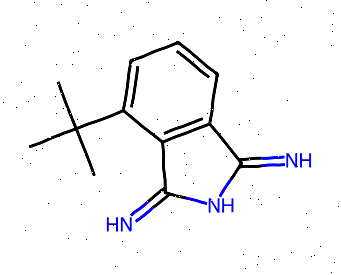 CC(C)(C)c1cccc2c1C(=N)NC2=N